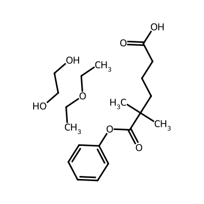 CC(C)(CCCC(=O)O)C(=O)Oc1ccccc1.CCOCC.OCCO